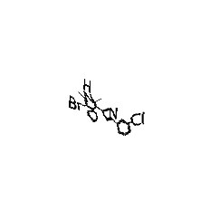 Cc1[nH]c(C)c(-c2ccc(-c3cccc(Cl)c3)nc2)c(=O)c1Br